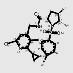 C[C@H]1[C@H](F)C[C@@H](C(=O)NCc2cc(Cl)nc(C3CC3)c2I)N1S(=O)(=O)c1ccc(F)cc1